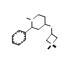 O=C(O)N1CCC(NC2CS(=O)(=O)C2)CC1c1ccccc1